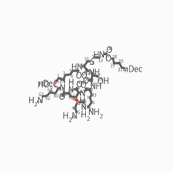 CCCCCCCCCCCCCCCC(=O)NC(CSCCNC(=O)OCCCCCCCCCCCCCC)C(=O)NC(CO)C(=O)NC(CCCCN)C(=O)NC(CCCCN)C(=O)NC(CCCCN)C(=O)NC(CCCCN)C(=O)O